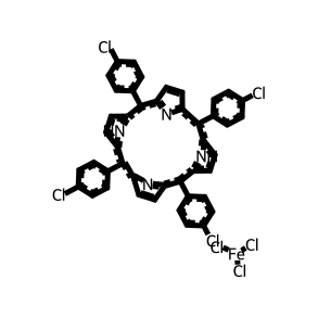 Clc1ccc(-c2c3nc(c(-c4ccc(Cl)cc4)c4ccc([nH]4)c(-c4ccc(Cl)cc4)c4nc(c(-c5ccc(Cl)cc5)c5ccc2[nH]5)C=C4)C=C3)cc1.[Cl][Fe]([Cl])[Cl]